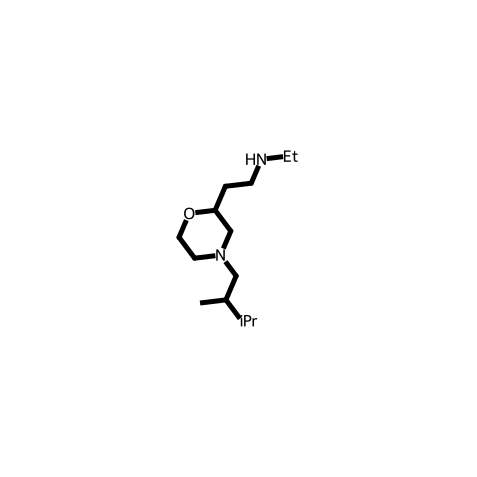 CCNCCC1CN(CC(C)C(C)C)CCO1